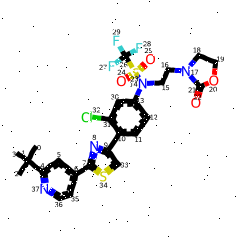 CC(C)(C)c1cc(-c2nc(-c3ccc(N(CCN4CCOC4=O)S(=O)(=O)C(F)(F)F)cc3Cl)cs2)ccn1